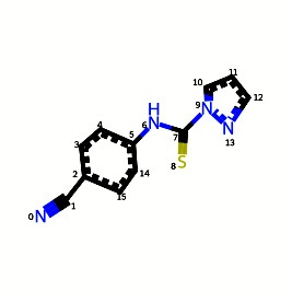 N#Cc1ccc(NC(=S)n2cccn2)cc1